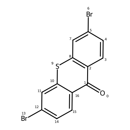 O=c1c2ccc(Br)cc2sc2cc(Br)ccc12